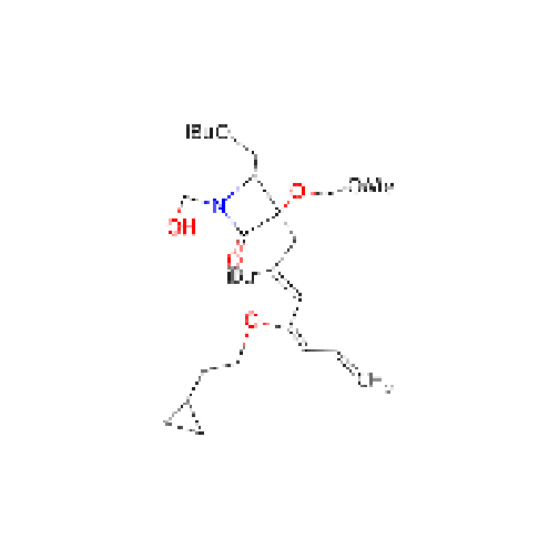 C=C/C=C(\C=C(\C[C@]1(OCOC)C(=O)N(CO)C1COCC(C)C)C(C)CC)OCCC1CC1